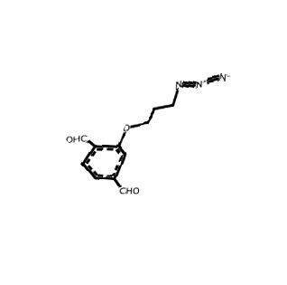 [N-]=[N+]=NCCCOc1cc(C=O)ccc1C=O